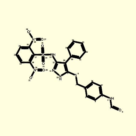 O=CNc1ccc(CSc2[nH]nc(NS(=O)(=O)c3c([N+](=O)[O-])cccc3[N+](=O)[O-])c2-c2ccccc2)cc1